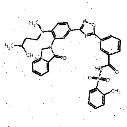 Cc1ccccc1S(=O)(=O)NC(=O)c1cccc(-c2nc(-c3ccc(N(C)CCC(C)C)c(N4Cc5ccccc5C4=O)c3)no2)c1